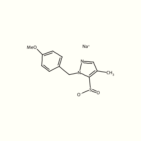 COc1ccc(Cn2ncc(C)c2S(=O)[O-])cc1.[Na+]